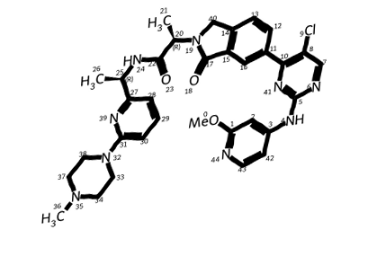 COc1cc(Nc2ncc(Cl)c(-c3ccc4c(c3)C(=O)N([C@H](C)C(=O)N[C@H](C)c3cccc(N5CCN(C)CC5)n3)C4)n2)ccn1